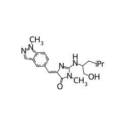 CC(C)CC(CO)NC1=N/C(=C\c2ccc3c(cnn3C)c2)C(=O)N1C